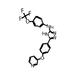 FC(F)(F)Oc1ccc(Nc2nnc(-c3ccc(Oc4cccnc4)cc3)[nH]2)cc1